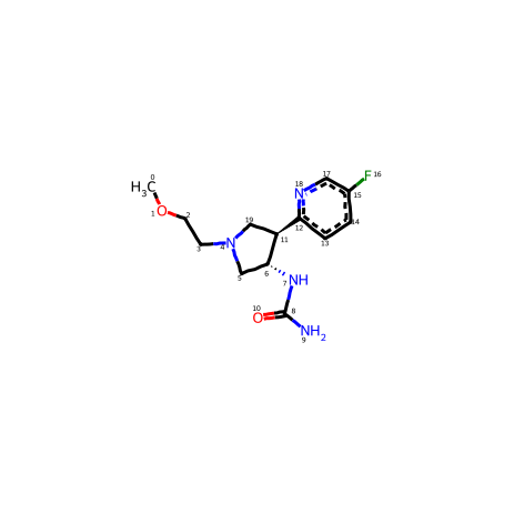 COCCN1C[C@@H](NC(N)=O)[C@H](c2ccc(F)cn2)C1